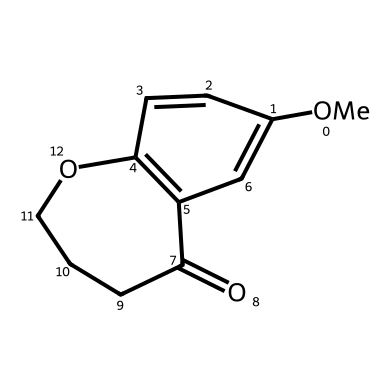 COc1ccc2c(c1)C(=O)CCCO2